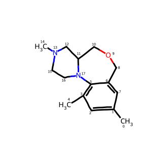 Cc1cc(C)c2c(c1)COCC1CN(C)CCN21